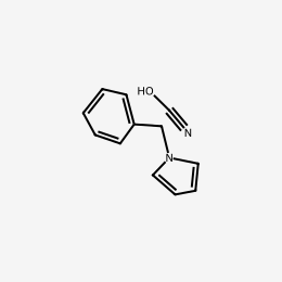 N#CO.c1ccc(Cn2cccc2)cc1